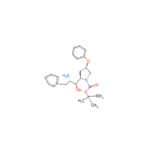 CC(C)(C)OC(=O)N1C[C@H](Oc2ccccc2)C[C@@H]1[C@@H](O)[C@@H](N)Cc1ccccc1